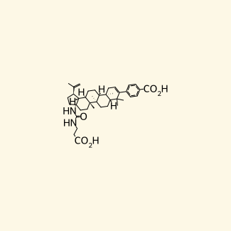 C=C(C)[C@@H]1CC[C@]2(NC(=O)NCCC(=O)O)CC[C@]3(C)[C@H](CC[C@@H]4[C@@]5(C)CC=C(c6ccc(C(=O)O)cc6)C(C)(C)[C@@H]5CC[C@]43C)[C@@H]12